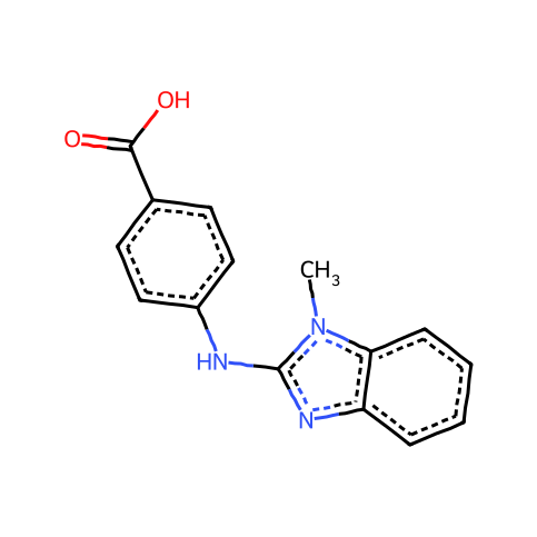 Cn1c(Nc2ccc(C(=O)O)cc2)nc2ccccc21